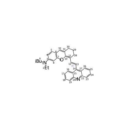 CCC(C)N(CC)c1ccc2c(c1)OC1=C(/C=C/c3c4ccccc4nc4ccccc34)CCCC1=C2